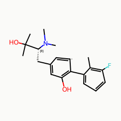 Cc1c(F)cccc1-c1[c]cc(C[C@@H](N(C)C)C(C)(C)O)cc1O